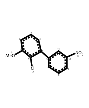 COc1cccc(-c2cccc([N+](=O)[O-])c2)c1Cl